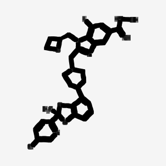 C[C@]1(c2ccc(Cl)cn2)Oc2cccc(C3CCN(Cc4nc5cc(C(=N)NO)cc(F)c5n4C[C@@H]4CCO4)CC3)c2O1